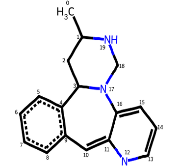 CC1CC2c3ccccc3C=C3NC=CC=C3N2CN1